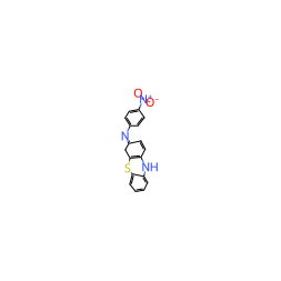 O=[N+]([O-])c1ccc(N=C2C=CC3=C(C2)Sc2ccccc2N3)cc1